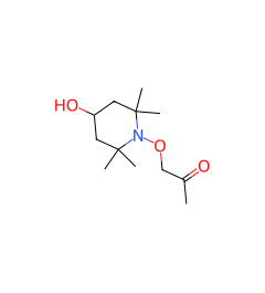 CC(=O)CON1C(C)(C)CC(O)CC1(C)C